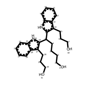 OCCCCC(c1[nH]c2ccccc2c1CCCO)c1[nH]c2ccccc2c1CCCO